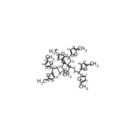 Cc1ccc(C(CCC2=C(CC(c3ccc(C)o3)c3ccc(C)o3)C(=O)CC(C)(CCC(c3ccc(C)o3)c3ccc(C)o3)C2)c2ccc(C)o2)o1